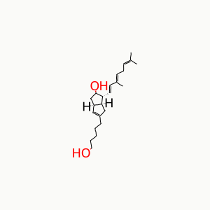 CC(C)=CC/C=C(C)/C=C/[C@@H]1[C@H]2CC(CCCCCO)=C[C@H]2C[C@H]1O